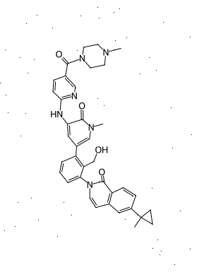 CN1CCN(C(=O)c2ccc(Nc3cc(-c4cccc(-n5ccc6cc(C7(C)CC7)ccc6c5=O)c4CO)cn(C)c3=O)nc2)CC1